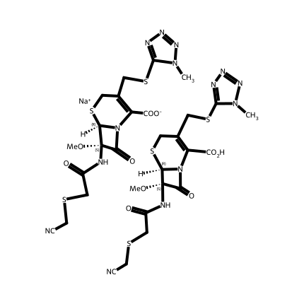 CO[C@@]1(NC(=O)CSCC#N)C(=O)N2C(C(=O)O)=C(CSc3nnnn3C)CS[C@@H]21.CO[C@@]1(NC(=O)CSCC#N)C(=O)N2C(C(=O)[O-])=C(CSc3nnnn3C)CS[C@@H]21.[Na+]